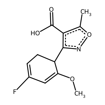 COC1=CC(F)=CCC1c1noc(C)c1C(=O)O